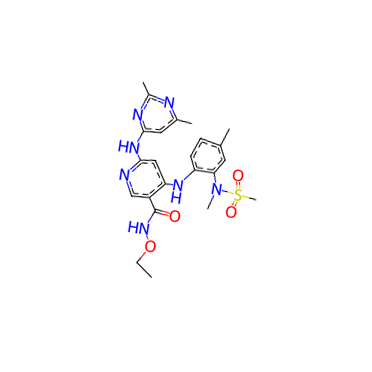 CCONC(=O)c1cnc(Nc2cc(C)nc(C)n2)cc1Nc1ccc(C)cc1N(C)S(C)(=O)=O